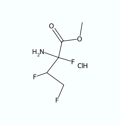 COC(=O)C(N)(F)C(F)CF.Cl